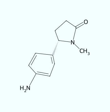 CN1C(=O)CC[C@H]1c1ccc(N)cc1